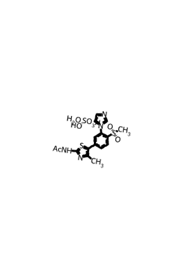 CC(=O)Nc1nc(C)c(-c2ccc(S(C)(=O)=O)c(-n3ccnc3)c2)s1.O.O=S(=O)(O)O